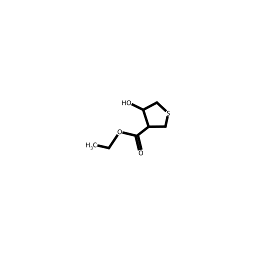 CCOC(=O)C1CSCC1O